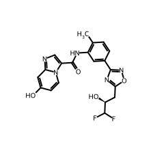 Cc1ccc(-c2noc(C[C@H](O)C(F)F)n2)cc1NC(=O)c1cnc2cc(O)ccn12